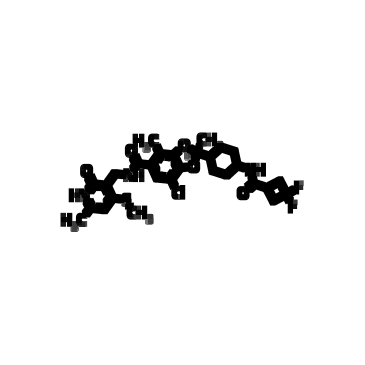 CSc1cc(C)[nH]c(=O)c1CNC(=O)c1cc(Cl)c2c(c1C)O[C@](C)(C1CCC(NC(=O)C3CC(F)(F)C3)CC1)O2